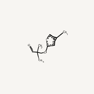 Cc1csc(OC(C)(C)C=O)c1